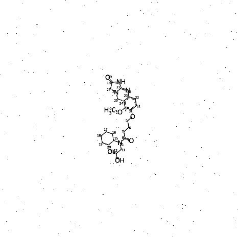 COc1c(OCCCC(=O)N(CC(=O)O)C2CCCCC2)ccc2c1CN1CC(=O)NC1=N2